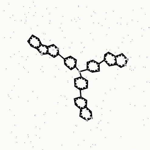 c1ccc2c(c1)oc1cc(-c3ccc(N(c4ccc(-c5ccc6cnncc6c5)cc4)c4ccc(-c5ccc6cnncc6c5)cc4)cc3)ncc12